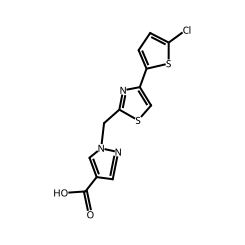 O=C(O)c1cnn(Cc2nc(-c3ccc(Cl)s3)cs2)c1